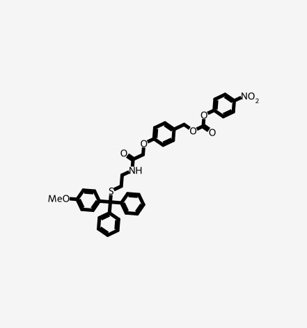 COc1ccc(C(SCCNC(=O)COc2ccc(COC(=O)Oc3ccc([N+](=O)[O-])cc3)cc2)(c2ccccc2)c2ccccc2)cc1